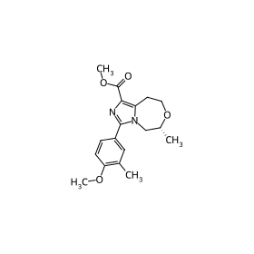 COC(=O)c1nc(-c2ccc(OC)c(C)c2)n2c1CCO[C@H](C)C2